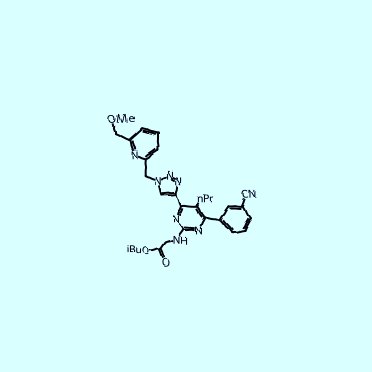 CCCc1c(-c2cccc(C#N)c2)nc(NCC(=O)OCC(C)C)nc1-c1cn(Cc2cccc(COC)n2)nn1